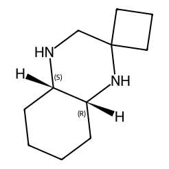 C1CC[C@H]2NC3(CCC3)CN[C@H]2C1